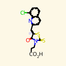 O=C(O)CCN1C(=O)/C(=C/c2ccc3cccc(Cl)c3n2)SC1=S